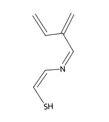 C=CC(=C)/C=N\C=C/S